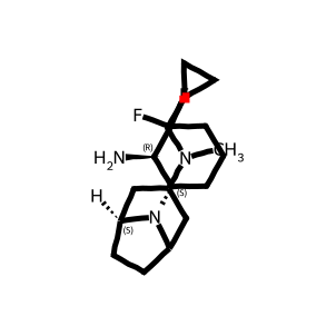 CN(CC1CC1)C1CC2CC[C@@H](C1)N2[C@H]1CCCC(F)(F)[C@@H]1N